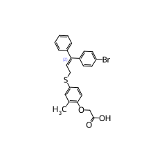 Cc1cc(SC/C=C(/c2ccccc2)c2ccc(Br)cc2)ccc1OCC(=O)O